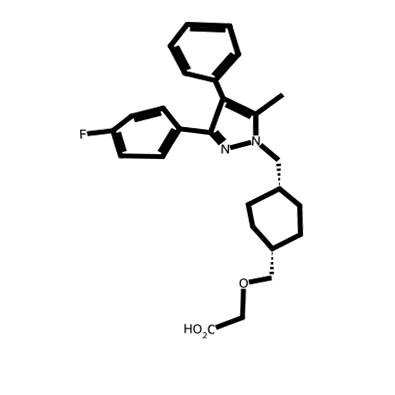 Cc1c(-c2ccccc2)c(-c2ccc(F)cc2)nn1C[C@H]1CC[C@@H](COCC(=O)O)CC1